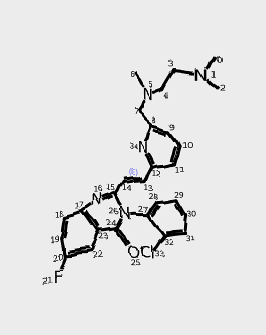 CN(C)CCN(C)Cc1cccc(/C=C/c2nc3ccc(F)cc3c(=O)n2-c2ccccc2Cl)n1